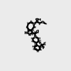 COCC(O)N1CCCc2[nH]nc(C(=O)N3CCC(c4ccccc4C(F)(F)F)CC3)c2C1